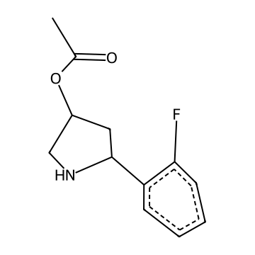 CC(=O)OC1CNC(c2ccccc2F)C1